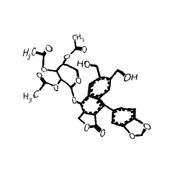 CC(=O)OC1COC(Oc2c3c(c(-c4ccc5c(c4)OCO5)c4cc(CO)c(CO)cc24)C(=O)OC3)C(OC(C)=O)C1OC(C)=O